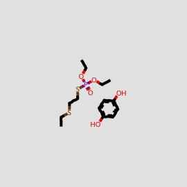 CCOP(=O)(OCC)SCCSCC.Oc1ccc(O)cc1